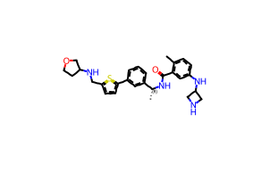 Cc1ccc(NC2CNC2)cc1C(=O)N[C@H](C)c1cccc(-c2ccc(CNC3CCOC3)s2)c1